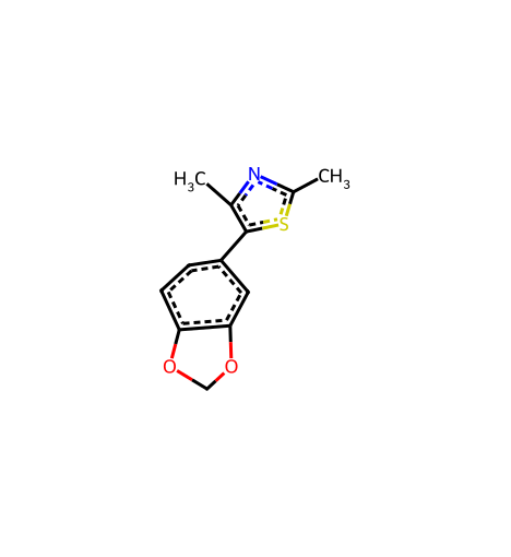 Cc1nc(C)c(-c2ccc3c(c2)OCO3)s1